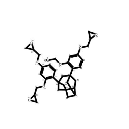 CCC(C)COc1cc(OCC2CO2)ccc1C12CC3CC4(CC(c5ccc(OCC6CO6)cc5OCC5CO5)(C1)C4)C3C2